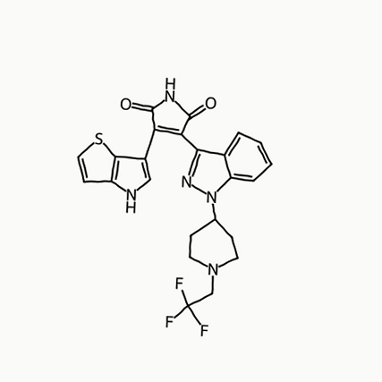 O=C1NC(=O)C(c2c[nH]c3ccsc23)=C1c1nn(C2CCN(CC(F)(F)F)CC2)c2ccccc12